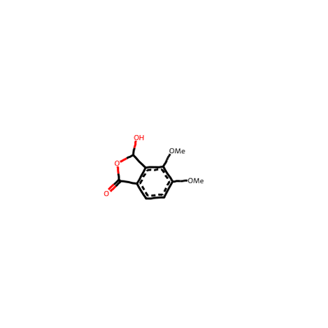 COc1ccc2c(c1OC)C(O)OC2=O